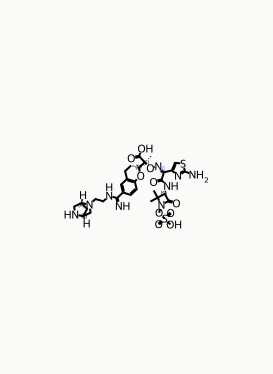 CC1(C)[C@H](NC(=O)/C(=N\O[C@](C)(C(=O)O)[C@H]2CCc3cc(C(=N)NCCN4C[C@H]5C[C@@H]4CN5)ccc3O2)c2csc(N)n2)C(=O)N1OS(=O)(=O)O